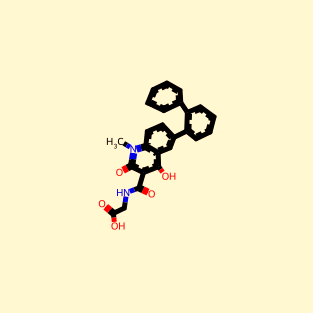 Cn1c(=O)c(C(=O)NCC(=O)O)c(O)c2cc(-c3ccccc3-c3ccccc3)ccc21